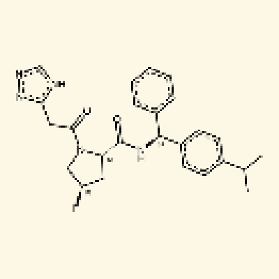 CC(C)c1ccc([C@@H](NC(=O)[C@@H]2C[C@@H](F)CN2C(=O)Cc2nnc[nH]2)c2ccccc2)cc1